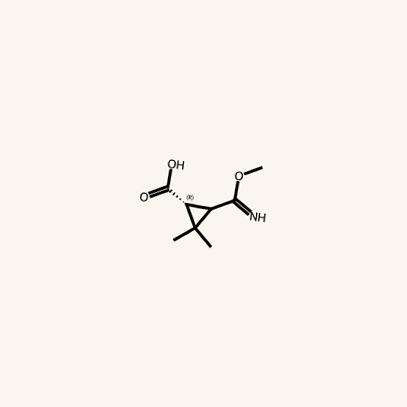 COC(=N)C1[C@@H](C(=O)O)C1(C)C